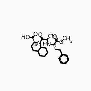 COC(=O)[C@H](CCc1ccccc1)NC(C)C(=O)N1C2CCCCC2CC[C@H]1C(=O)O